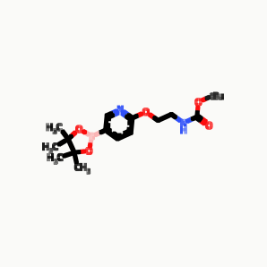 CC(C)(C)OC(=O)NCCOc1ccc(B2OC(C)(C)C(C)(C)O2)cn1